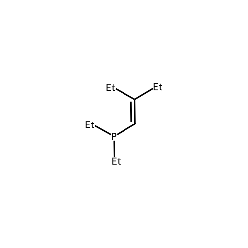 CCC(=CP(CC)CC)CC